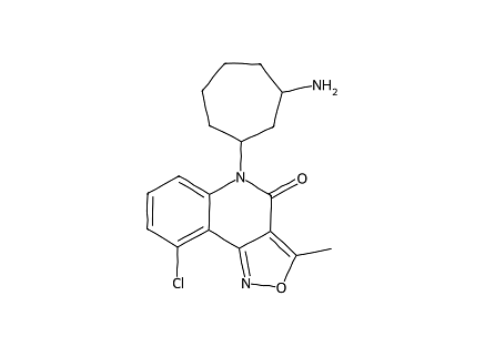 Cc1onc2c1c(=O)n(C1CCCCC(N)C1)c1cccc(Cl)c21